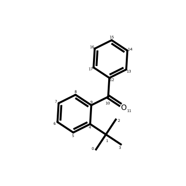 CC(C)(C)c1ccccc1C(=O)c1ccccc1